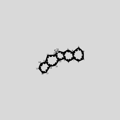 c1ccc2cc3c(cc2c1)[se]c1cc2ccccc2cc13